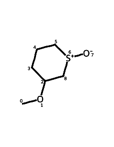 COC1CCC[S+]([O-])C1